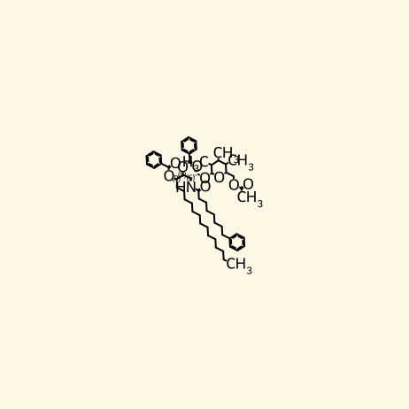 CCCCCCCCCCCCCC[C@@H](OC(=O)c1ccccc1)[C@@H](OC(=O)c1ccccc1)[C@H](COC1OC(COC(C)=O)C(C)C(C)C1C)NC(=O)CCCCCCCc1ccccc1